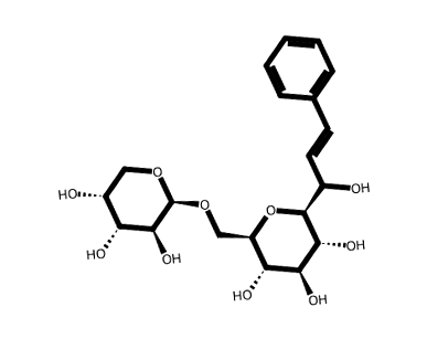 OC(C=Cc1ccccc1)[C@@H]1O[C@H](CO[C@@H]2OC[C@@H](O)[C@@H](O)[C@@H]2O)[C@@H](O)[C@H](O)[C@H]1O